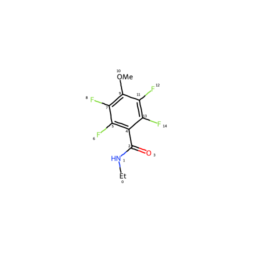 CCNC(=O)c1c(F)c(F)c(OC)c(F)c1F